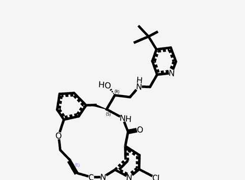 CC(C)(C)c1ccnc(CNC[C@@H](O)[C@@H]2Cc3cccc(c3)OC/C=C/CNc3cc(cc(Cl)n3)C(=O)N2)c1